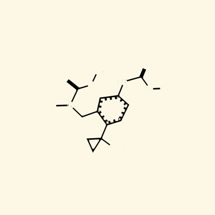 CCOC(=O)C1(c2ccc(NC(=O)OC(C)(C)C)cc2CN(C)C(=O)OC(C)(C)C)CC1